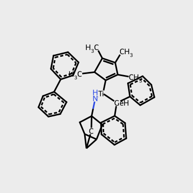 CC1=C(C)C(C)[C]([Ti]([NH]C23CC4C(C2)C4C3)[GeH]([c]2ccccc2)[c]2ccccc2)=C1C.c1ccc(-c2ccccc2)cc1